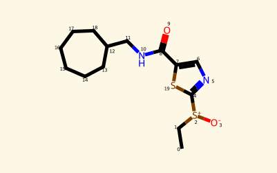 CC[S+]([O-])c1ncc(C(=O)NCC2CCCCCC2)s1